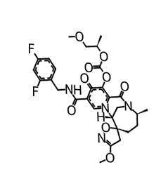 COC[C@@H](C)OC(=O)Oc1c2n(cc(C(=O)NCc3ccc(F)cc3F)c1=O)[C@@H]1CN(C2=O)[C@@H](C)CC[C@]12CC(OC)=NO2